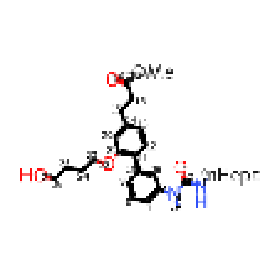 CCCCCCCNC(=O)N(C)c1cccc(-c2ccc(CCC(=O)OC)cc2OCCCCO)c1